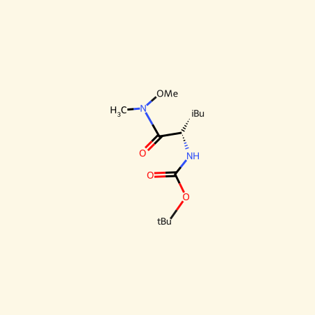 CC[C@@H](C)[C@H](NC(=O)OC(C)(C)C)C(=O)N(C)OC